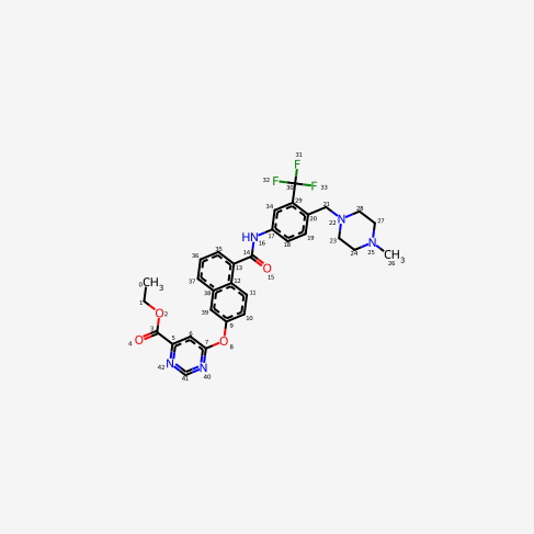 CCOC(=O)c1cc(Oc2ccc3c(C(=O)Nc4ccc(CN5CCN(C)CC5)c(C(F)(F)F)c4)cccc3c2)ncn1